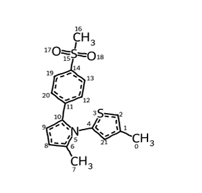 Cc1csc(-n2c(C)ccc2-c2ccc(S(C)(=O)=O)cc2)c1